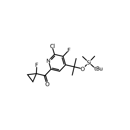 CC(C)(O[Si](C)(C)C(C)(C)C)c1cc(C(=O)C2(F)CC2)nc(Cl)c1F